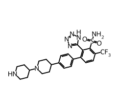 NS(=O)(=O)c1c(C(F)(F)F)ccc(-c2ccc(C3CCN(C4CCNCC4)CC3)cc2)c1-c1nnn[nH]1